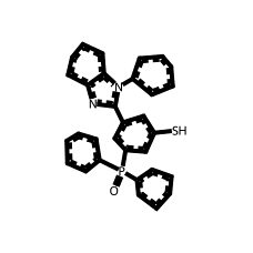 O=P(c1ccccc1)(c1ccccc1)c1cc(S)cc(-c2nc3ccccc3n2-c2ccccc2)c1